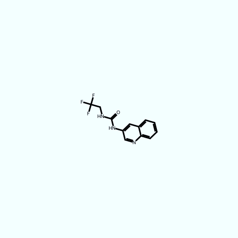 O=C(NCC(F)(F)F)Nc1cnc2ccccc2c1